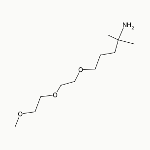 COCCOCCOCCCC(C)(C)N